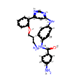 NCCCOc1ccccc1-c1cc(Nc2ccc(NC(=O)c3ccc(N)cc3)cc2)ncn1